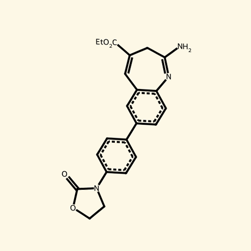 CCOC(=O)C1=Cc2cc(-c3ccc(N4CCOC4=O)cc3)ccc2N=C(N)C1